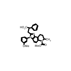 COC(=O)N1c2ccc3c(nc(CC(C(=O)O)c4ccccc4)n3-c3cccc(OC)c3)c2CCC1C